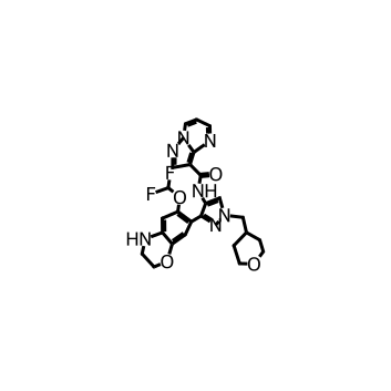 O=C(Nc1cn(CC2CCOCC2)nc1-c1cc2c(cc1OC(F)F)NCCO2)c1cnn2cccnc12